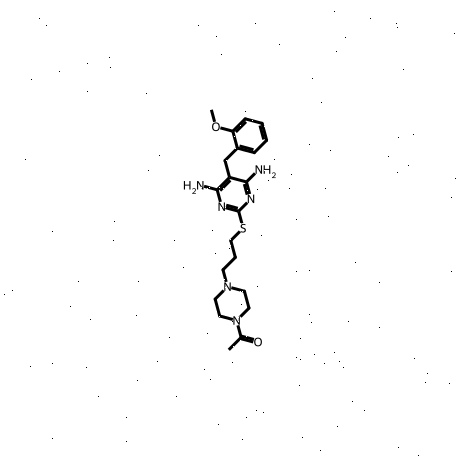 COc1ccccc1Cc1c(N)nc(SCCCN2CCN(C(C)=O)CC2)nc1N